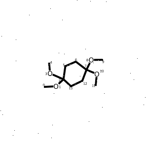 COC1(OC)CCC(OC)(OC)CC1